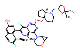 C#Cc1c(F)ccc2cc(O)cc(-c3nc(OC)c4c(N5CCOC6CC65)nc(OC[C@]56CCC[C@H]5N(C[C@@H]5COC(C)(C)O5)CCC6)nc4c3F)c12